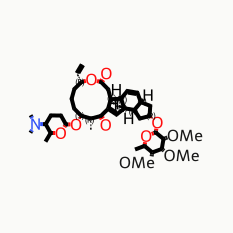 C=C[C@H]1CCC[C@H](OC2CCC(N(C)C)C(C)O2)[C@@H](C)C(=O)C2=C[C@@H]3[C@@H](C=C[C@@H]4C[C@@H](OC5OC(C)C(OC)C(OC)C5OC)C[C@@H]34)[C@@H]2CC(=O)O1